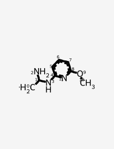 [CH2]C(N)Nc1cccc(OC)n1